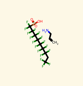 C=CCN.O=S(=O)(O)C(F)(F)C(F)(F)C(F)(F)C(F)(F)C(F)(F)C(F)(F)C(F)(F)CC(F)(F)F